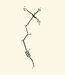 CC#CCCCC(Br)(CC)CC